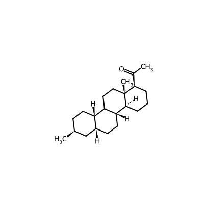 CC(=O)[C@H]1CCC[C@H]2[C@@H]3CC[C@@H]4C[C@@H](C)CC[C@@H]4C3CC[C@]12C